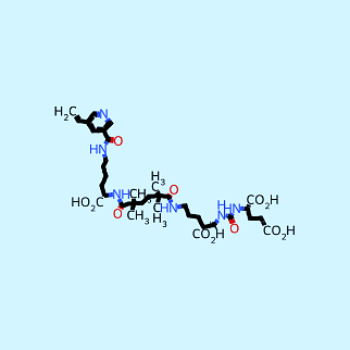 C=Cc1cncc(C(=O)NCCCCC(NC(=O)C(C)(C)CCC(C)(C)C(=O)NCCCC[C@H](NC(=O)NC(CCC(=O)O)C(=O)O)C(=O)O)C(=O)O)c1